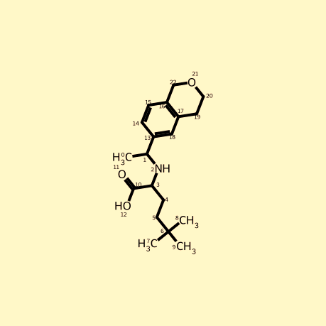 CC(NC(CCC(C)(C)C)C(=O)O)c1ccc2c(c1)CCOC2